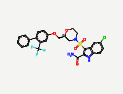 NC(=O)c1[nH]c2ccc(Cl)cc2c1S(=O)(=O)N1CCO[C@H](COc2ccc(-c3ccccc3)c(C(F)(F)F)c2)C1